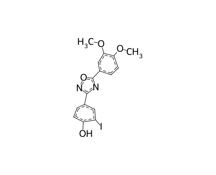 COc1ccc(-c2nc(-c3ccc(O)c(I)c3)no2)cc1OC